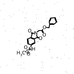 CS(=O)(=O)Nc1ccc2c(c1)C(=O)N(CC(=O)OCc1ccccc1)C2=O